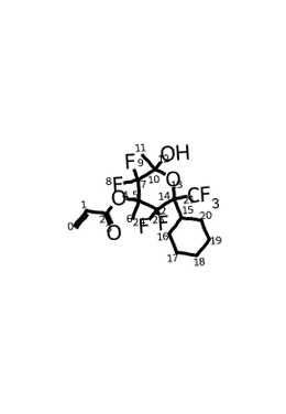 C=CC(=O)OC1(C)C(F)(F)C(C)(O)OC(C2CCCCC2)(C(F)(F)F)C1(F)F